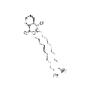 CC(C)CCCCCCCCCCOC(=O)c1ccccc1C(=O)OCCCCCCCCCCC(C)C